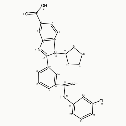 O=C(O)c1ccc2c(c1)nc(-c1cccc(C(=O)Nc3cccc(Cl)c3)c1)n2C1CCCC1